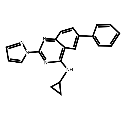 c1ccc(-c2ccc3nc(-n4cccn4)nc(NC4CC4)c3c2)cc1